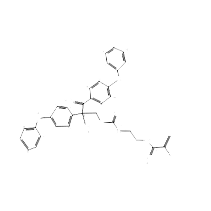 C=C(C)C(=O)OCCNC(=O)OCC(O)(C(=O)c1ccc(Sc2ccccc2)cc1)c1ccc(Sc2ccccc2)cc1